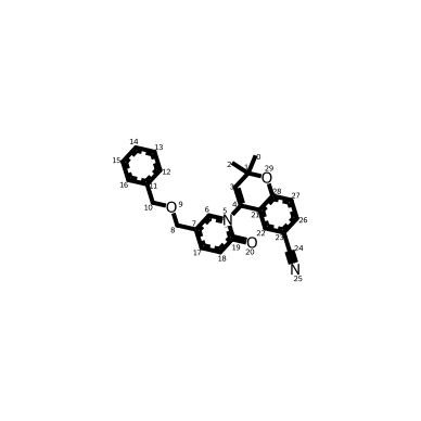 CC1(C)C=C(n2cc(COCc3ccccc3)ccc2=O)c2cc(C#N)ccc2O1